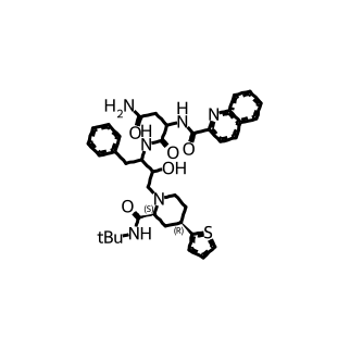 CC(C)(C)NC(=O)[C@@H]1C[C@H](c2cccs2)CCN1CC(O)C(Cc1ccccc1)NC(=O)C(CC(N)=O)NC(=O)c1ccc2ccccc2n1